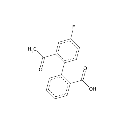 CC(=O)c1cc(F)ccc1-c1ccccc1C(=O)O